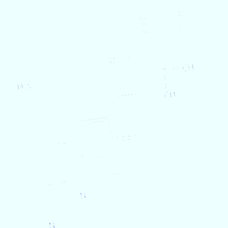 Cc1ccc2c(-c3ccncn3)c3ccccc3c(-c3ccc4c(c3)C(C)(C)c3ccccc3-4)c2c1